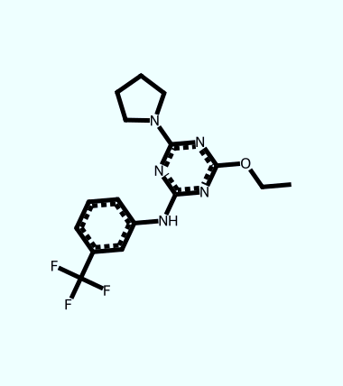 CCOc1nc(Nc2cccc(C(F)(F)F)c2)nc(N2CCCC2)n1